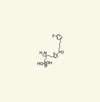 CC(N)(CCc1ccc(C(=O)CCCCc2cccc(F)c2)s1)CCP(=O)(O)O